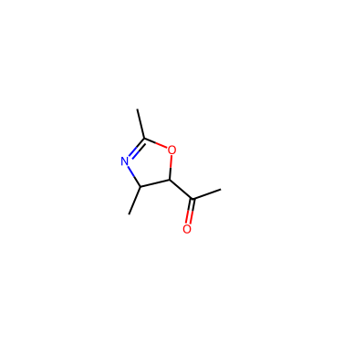 CC(=O)C1OC(C)=NC1C